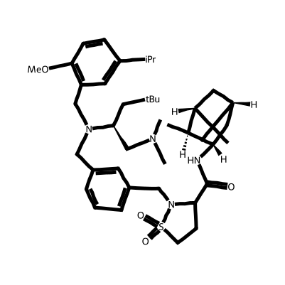 COc1ccc(C(C)C)cc1CN(Cc1cccc(CN2C(C(=O)N[C@H]3C[C@H]4C[C@@H]([C@@H]3C)C4(C)C)CCS2(=O)=O)c1)[C@H](CN(C)C)CC(C)(C)C